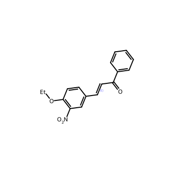 CCOc1ccc(/C=C/C(=O)c2ccccc2)cc1[N+](=O)[O-]